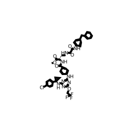 COC(=O)[C@H](CCNC(=O)C(=O)Nc1ccc(Cc2ccccc2)cc1)NC(=O)c1ccc(Nc2nc(NC3(c4ccc(Cl)cc4)CC3)nc(OCC(F)(F)F)n2)cc1